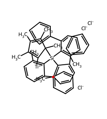 CC1=C(C)C(C)([Si](c2c(C)cccc2-c2ccccc2)(c2c(C)cccc2-c2ccccc2)c2c(C)cccc2-c2ccccc2)[C]([Ti+3])=C1C.[Cl-].[Cl-].[Cl-]